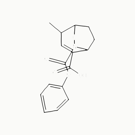 CC1C=C(C(=O)O)C2CCC1CN2C(=O)Oc1ccccc1